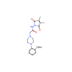 COc1ccccc1N1CCN(CC(=O)NN2C(=O)C(C)=C(C)C2=O)CC1